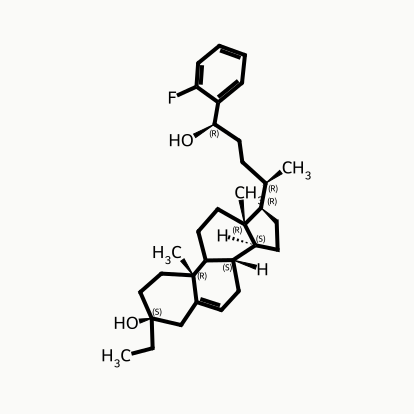 CC[C@]1(O)CC[C@@]2(C)C(=CC[C@@H]3C2CC[C@]2(C)[C@@H]([C@H](C)CC[C@@H](O)c4ccccc4F)CC[C@@H]32)C1